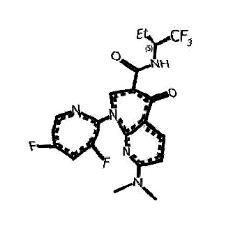 CC[C@H](NC(=O)c1cn(-c2ncc(F)cc2F)c2nc(N(C)C)ccc2c1=O)C(F)(F)F